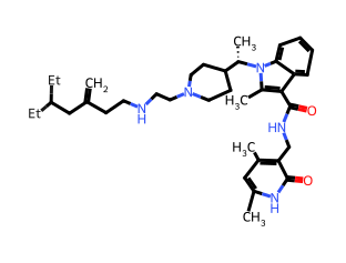 C=C(CCNCCN1CCC([C@H](C)n2c(C)c(C(=O)NCc3c(C)cc(C)[nH]c3=O)c3ccccc32)CC1)CC(CC)CC